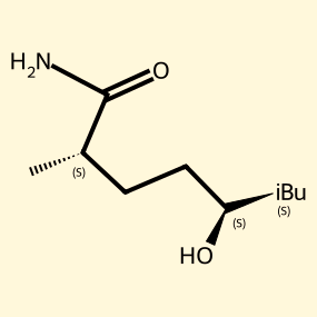 CC[C@H](C)[C@@H](O)CC[C@H](C)C(N)=O